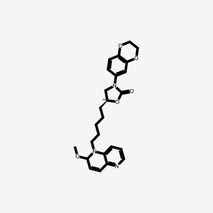 COC1C=Cc2ncccc2N1CCCCC[C@H]1CN(c2ccc3c(c2)OCCO3)C(=O)O1